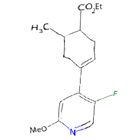 CCOC(=O)C1CC=C(c2cc(OC)ncc2F)CC1C